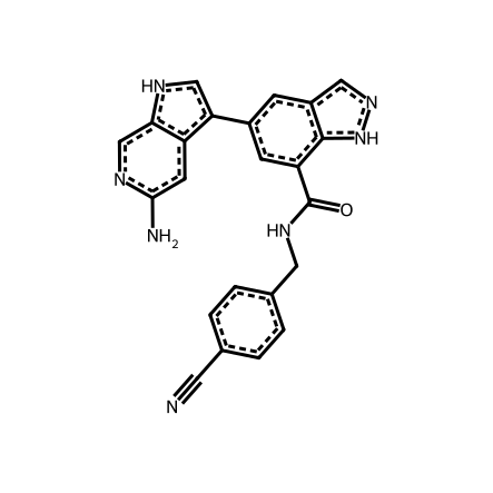 N#Cc1ccc(CNC(=O)c2cc(-c3c[nH]c4cnc(N)cc34)cc3cn[nH]c23)cc1